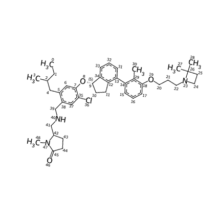 CCC(C)Cc1cc(O[C@H]2CCc3c(-c4cccc(OCCCN5CCC5(C)C)c4C)cccc32)c(Cl)cc1CNCC1CCC(=O)N1C